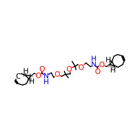 CC(C)(COCCNC(=O)OC[C@@H]1[C@@H]2CCC#CCC[C@@H]21)COC(C)(C)COCCNC(=O)OC[C@@H]1[C@@H]2CCC#CCC[C@@H]21